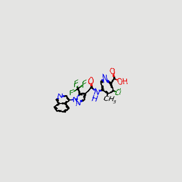 Cc1c(NC(=O)c2cnn(-c3cncc4ccccc34)c2C(F)(F)F)cnc(C(=O)O)c1Cl